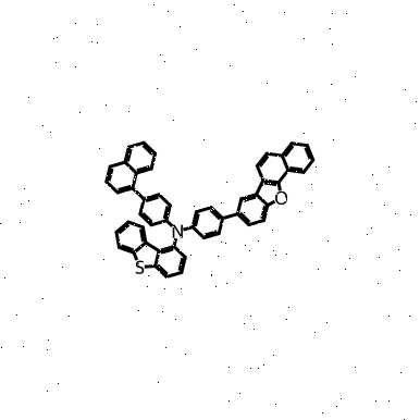 c1ccc2c(-c3ccc(N(c4ccc(-c5ccc6oc7c8ccccc8ccc7c6c5)cc4)c4cccc5sc6ccccc6c45)cc3)cccc2c1